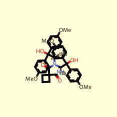 COc1ccc(C(O)(c2ccc(OC)cc2)[C@H](N(C(=O)C2(C(N)=O)CCC2)[C@H](C(C)(C)C)C(O)(c2ccc(OC)cc2)c2ccc(OC)cc2)C(C)(C)C)cc1